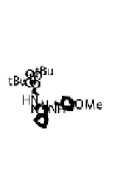 COc1ccc(CNc2nc(NCCOP(=O)(OC(C)(C)C)OC(C)(C)C)nc3ccccc23)cc1